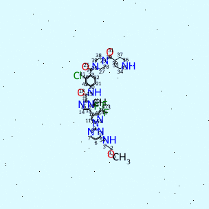 COCCNc1ccnc(-n2cc(-c3cnc(C(=O)Nc4ccc(C(=O)N5CCN(C(=O)C6CCNCC6)CC5)c(Cl)c4)n3C)c(C(F)(F)F)n2)n1